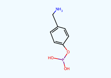 NCc1ccc(OP(O)O)cc1